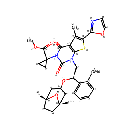 COc1ccccc1[C@H](Cn1c(=O)n(C2(C(=O)OC(C)(C)C)CC2)c(=O)c2c(C)c(-c3ncco3)sc21)OC1C[C@H]2CC[C@@H](C1)O2